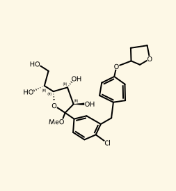 COC1(c2ccc(Cl)c(Cc3ccc(OC4CCOC4)cc3)c2)O[C@H]([C@H](O)CO)[C@H](O)[C@H]1O